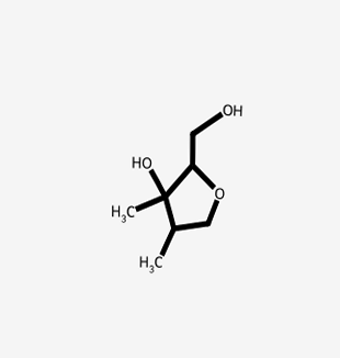 CC1COC(CO)C1(C)O